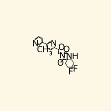 Cc1ncccc1-c1ccc(C(=O)CN2C(=O)NC3(CCC(F)(F)CC3)C2=O)nc1